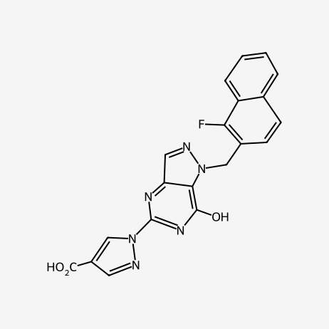 O=C(O)c1cnn(-c2nc(O)c3c(cnn3Cc3ccc4ccccc4c3F)n2)c1